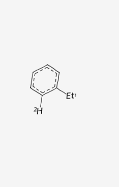 [2H]c1ccccc1[C]C